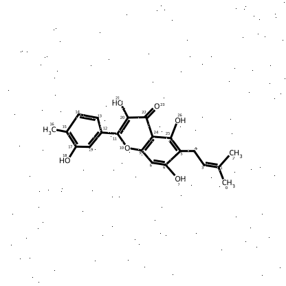 CC(C)=CCc1c(O)cc2oc(-c3ccc(C)c(O)c3)c(O)c(=O)c2c1O